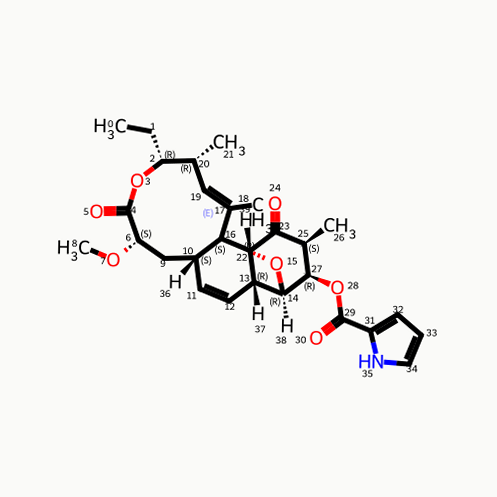 CC[C@H]1OC(=O)[C@@H](OC)C[C@H]2C=C[C@H]3[C@H]4O[C@]2(/C(C)=C/[C@H]1C)[C@@H]3C(=O)[C@@H](C)[C@H]4OC(=O)c1ccc[nH]1